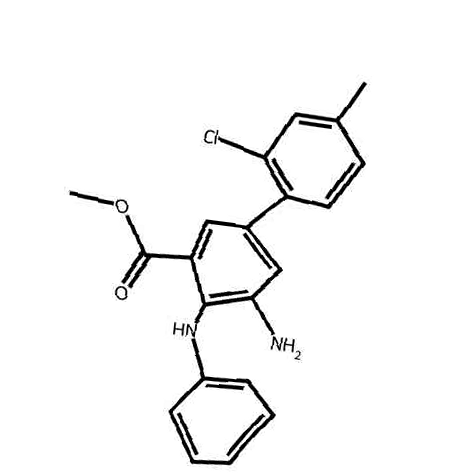 COC(=O)c1cc(-c2ccc(C)cc2Cl)cc(N)c1Nc1ccccc1